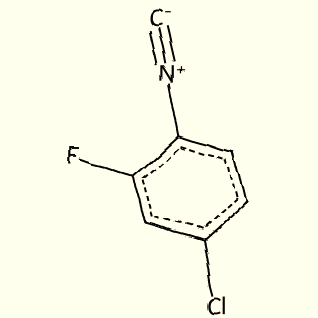 [C-]#[N+]c1ccc(Cl)cc1F